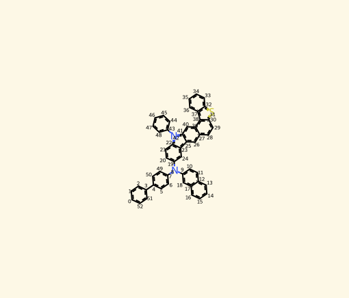 c1ccc(-c2ccc(N(c3ccc4ccccc4c3)c3ccc4c(c3)c3cc5ccc6sc7ccccc7c6c5cc3n4-c3ccccc3)cc2)cc1